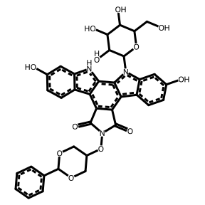 O=C1c2c(c3c4ccc(O)cc4n(C4OC(CO)C(O)C(O)C4O)c3c3[nH]c4cc(O)ccc4c23)C(=O)N1OC1COC(c2ccccc2)OC1